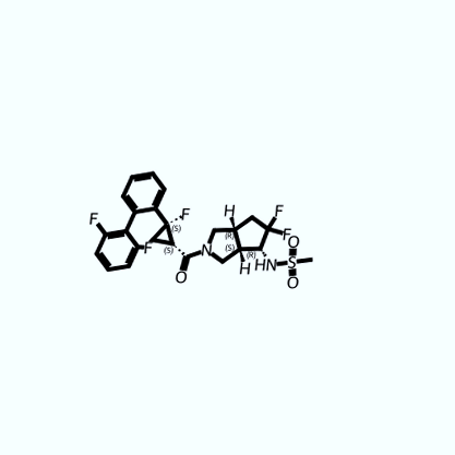 CS(=O)(=O)N[C@@H]1[C@@H]2CN(C(=O)[C@@H]3C[C@@]3(F)c3ccccc3-c3c(F)cccc3F)C[C@@H]2CC1(F)F